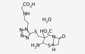 NC1S[C@@H]2CC(=O)N2CC1(CSc1nnnn1CCNCC(=O)O)C(=O)O.O